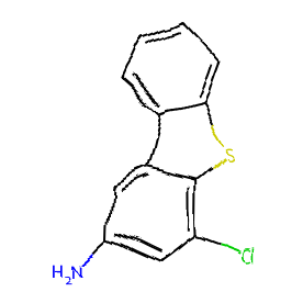 Nc1cc(Cl)c2sc3ccccc3c2c1